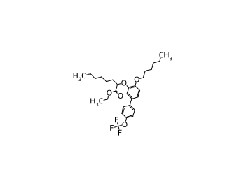 CCCCCCOc1ccc(-c2ccc(OC(F)(F)F)cc2)cc1OC(CCCCCC)C(=O)OCC